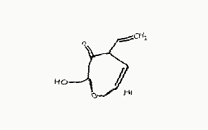 C=CC1C=COC(O)C1=O.I